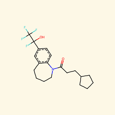 O=C(CCC1CCCC1)N1CCCCc2cc(C(O)(F)C(F)(F)F)ccc21